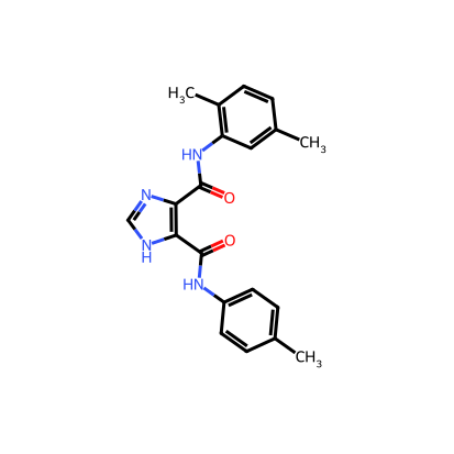 Cc1ccc(NC(=O)c2[nH]cnc2C(=O)Nc2cc(C)ccc2C)cc1